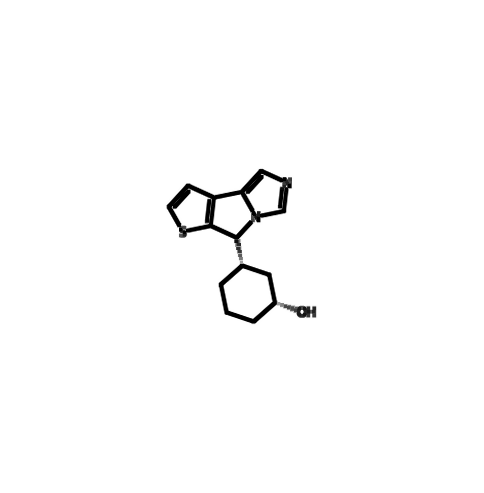 O[C@@H]1CCC[C@H](C2c3sccc3-c3cncn32)C1